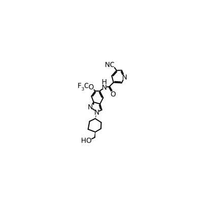 N#Cc1cncc(C(=O)Nc2cc3cn([C@H]4CC[C@H](CO)CC4)nc3cc2OC(F)(F)F)c1